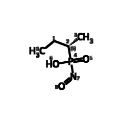 CC[C@H](C)P(=O)(O)N=O